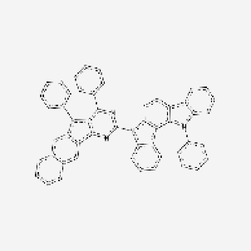 c1ccc(-c2nc(-n3c4ccccc4c4c3ccc3c5ccccc5n(-c5ccccc5)c34)nc3c4cc5ccccc5cc4n(-c4ccccc4)c23)cc1